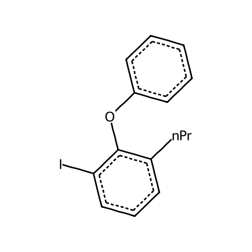 CCCc1cccc(I)c1Oc1ccccc1